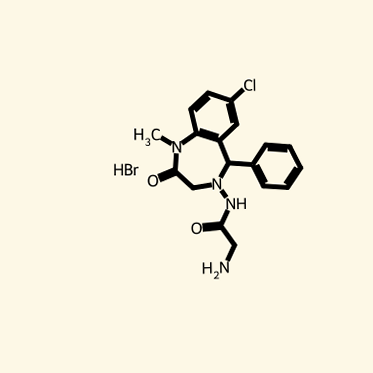 Br.CN1C(=O)CN(NC(=O)CN)C(c2ccccc2)c2cc(Cl)ccc21